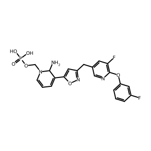 NC1C(c2cc(Cc3cnc(Oc4cccc(F)c4)c(F)c3)no2)=CC=CN1COP(=O)(O)O